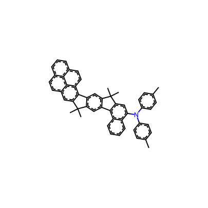 Cc1ccc(N(c2ccc(C)cc2)c2cc3c(c4ccccc24)-c2cc4c(cc2C3(C)C)-c2c(cc3ccc5cccc6ccc2c3c56)C4(C)C)cc1